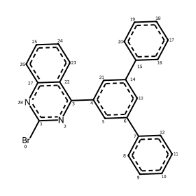 Brc1nc(-c2cc(-c3ccccc3)cc(-c3ccccc3)c2)c2ccccc2n1